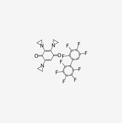 Fc1cc(-c2c(F)c(F)c(F)c(F)c2F)c(F)c(F)c1F.O=C1C=C(N2CC2)C(=O)C(N2CC2)=C1N1CC1